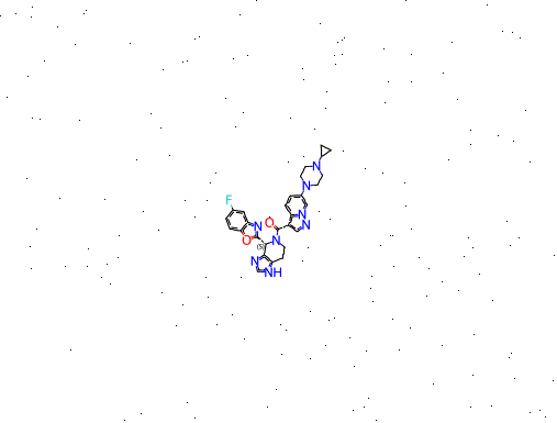 O=C(c1cnn2cc(N3CCN(C4CC4)CC3)ccc12)N1CCc2[nH]cnc2[C@H]1c1nc2cc(F)ccc2o1